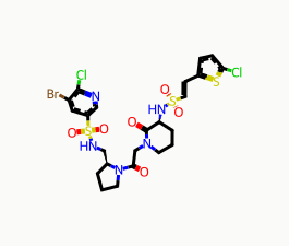 O=C1[C@@H](NS(=O)(=O)/C=C/c2ccc(Cl)s2)CCCN1CC(=O)N1CCC[C@H]1CNS(=O)(=O)c1cnc(Cl)c(Br)c1